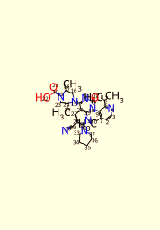 Cc1ccnc(C(C)C)c1-n1c(=O)nc(N2C[C@@H](C)N(C(=O)O)C[C@@H]2C)c2cc(C#N)c(N3CCCCC3)nc21